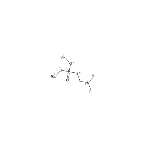 CCCOP(=O)(OC(C)(C)C)SCN(C)C